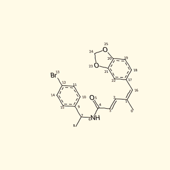 CC(C=CC(=O)NC(C)c1ccc(Br)cc1)=Cc1ccc2c(c1)OCO2